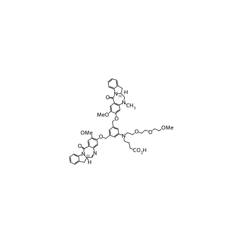 COCCOCCOCCN(CCCC(=O)O)c1cc(COc2cc3c(cc2OC)C(=O)N2c4ccccc4C[C@H]2C=N3)cc(COc2cc3c(cc2OC)C(=O)N2c4ccccc4C[C@H]2CN3C)c1